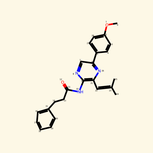 COc1ccc(-c2cnc(NC(=O)CCc3ccccc3)c(C=C(C)C)n2)cc1